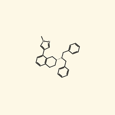 Cn1cc(-c2cccc3c2C[C@H](N(Cc2ccccc2)Cc2ccccc2)CC3)cn1